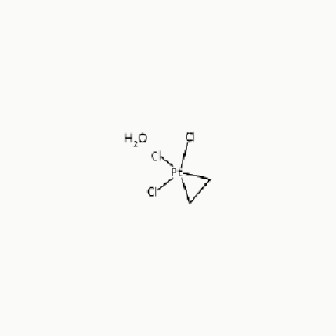 O.[Cl][Pt]1([Cl])([Cl])[CH2][CH2]1